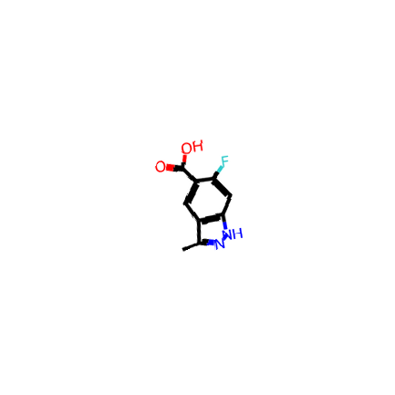 Cc1n[nH]c2cc(F)c(C(=O)O)cc12